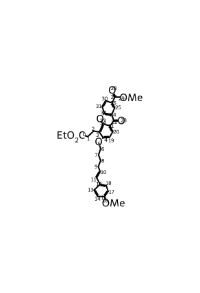 CCOC(=O)CCc1c(OCCCCC=Cc2ccc(OC)cc2)ccc2c(=O)c3cc(C(=O)OC)ccc3oc12